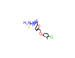 Cc1cc(OCc2ccc(/C=N/NC(N)=S)o2)ccc1Cl